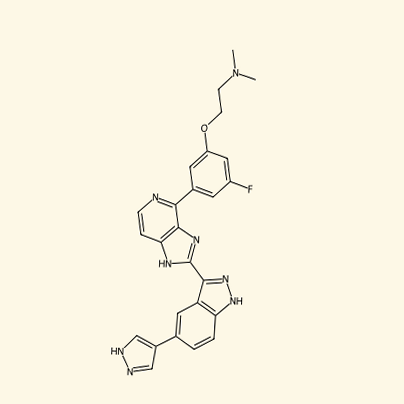 CN(C)CCOc1cc(F)cc(-c2nccc3[nH]c(-c4n[nH]c5ccc(-c6cn[nH]c6)cc45)nc23)c1